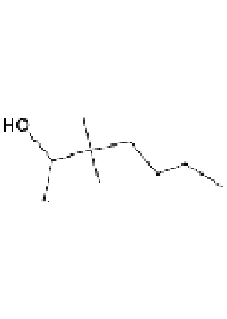 [CH2]C(O)C(C)(C)CCCC